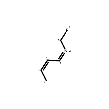 C/C=C\C=N/CF